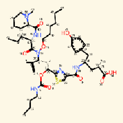 C=C(C)[C@@H](C[C@@H](OC(=O)NCCCC)c1nc(C(=O)N[C@@H](Cc2ccc(O)cc2)C[C@H](C)C(=O)O)cs1)N(OCCCCCC)C(=O)[C@@H](NC(=O)[C@H]1CCCCN1C)[C@@H](C)CC